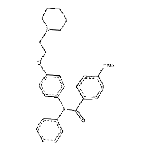 COc1ccc(C(=O)N(c2ccccc2)c2ccc(OCCN3CCCCC3)cc2)cc1